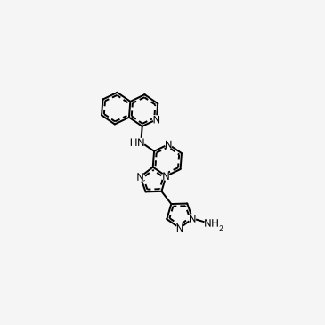 Nn1cc(-c2cnc3c(Nc4nccc5ccccc45)nccn23)cn1